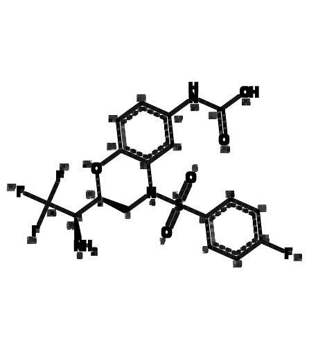 N[C@H]([C@@H]1CN(S(=O)(=O)c2ccc(F)cc2)c2cc(NC(=O)O)ccc2O1)C(F)(F)F